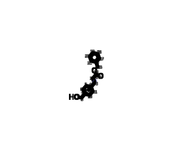 O=C(/C=C/C12CCC(CO)(CC1)CC2)OCc1ccccc1